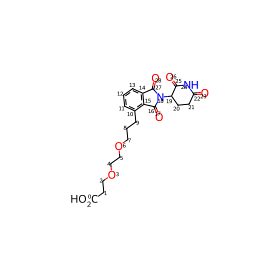 O=C(O)CCOCCOCCCc1cccc2c1C(=O)N(C1CCC(=O)NC1=O)C2=O